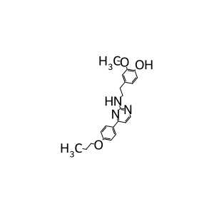 CCCOc1ccc(-c2ccnc(NCCc3ccc(O)c(OC)c3)n2)cc1